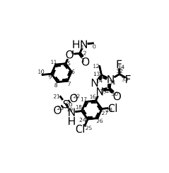 CNC(=O)Oc1cccc(C)c1.Cc1nn(-c2cc(NS(C)(=O)=O)c(Cl)cc2Cl)c(=O)n1C(F)F